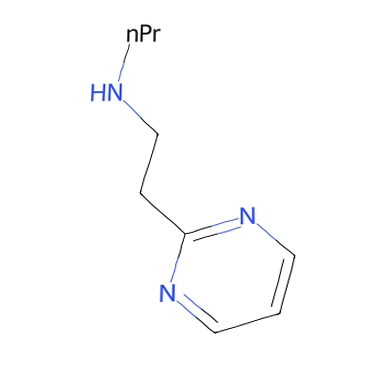 CCCNCCc1ncccn1